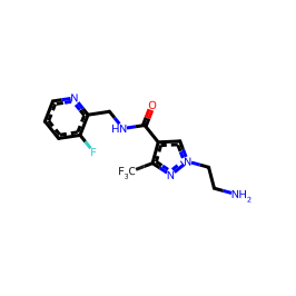 NCCn1cc(C(=O)NCc2ncccc2F)c(C(F)(F)F)n1